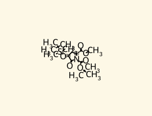 COC(=O)[C@@H]1C[C@@H](O[Si](C)(C)C(C)(C)C)C(=O)N1C(=O)OC(C)(C)C